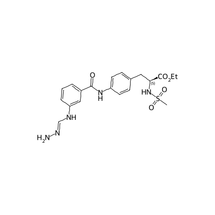 CCOC(=O)[C@H](Cc1ccc(NC(=O)c2cccc(NC=NN)c2)cc1)NS(C)(=O)=O